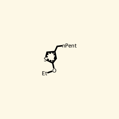 CCCCCCc1csc(OCC)c1